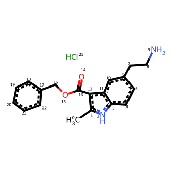 Cc1[nH]c2ccc(CCN)cc2c1C(=O)OCc1ccccc1.Cl